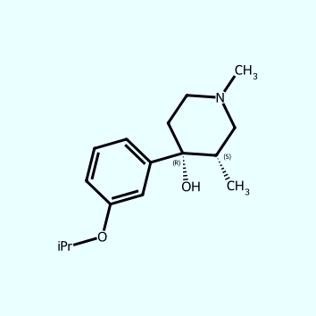 CC(C)Oc1cccc([C@@]2(O)CCN(C)C[C@@H]2C)c1